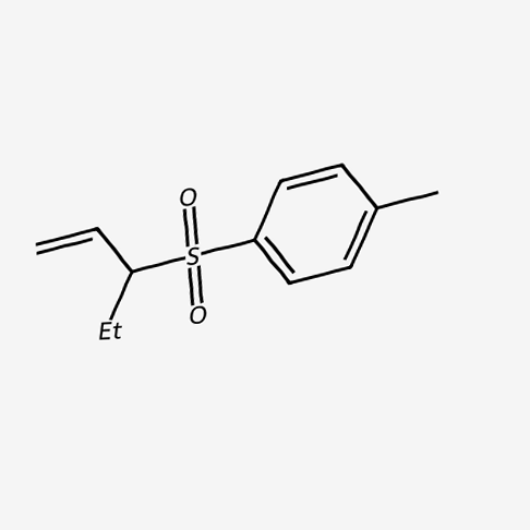 C=CC(CC)S(=O)(=O)c1ccc(C)cc1